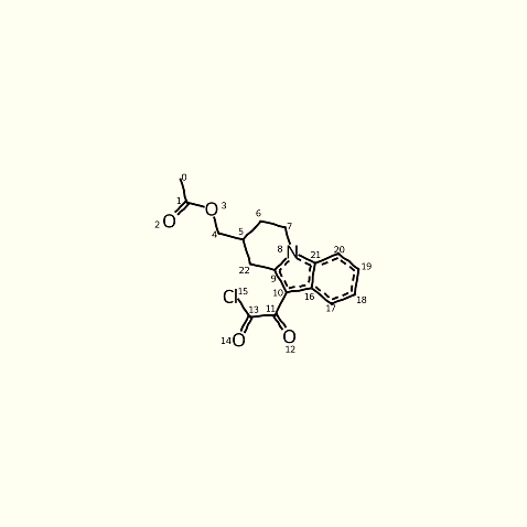 CC(=O)OCC1CCn2c(c(C(=O)C(=O)Cl)c3ccccc32)C1